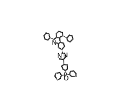 O=P(c1ccccc1)(c1ccccc1)c1ccc(-c2cnc(-c3ccc4c(c3)nc(-c3ccccc3)c3cccc(-c5ccccc5)c34)nc2)cc1